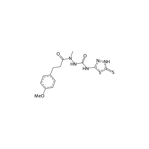 COc1ccc(CCC(=O)N(C)NC(=O)Nc2n[nH]c(=S)s2)cc1